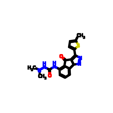 Cc1ccc(C2=C3C(=O)c4c(NC(=O)NN(C)C)cccc4C3N=N2)s1